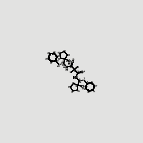 CC(C)(C(=O)N[C@H](Cc1ccccc1)C1(O)CCCC1)C(=O)N[C@H](Cc1ccccc1)C1(O)CCCC1